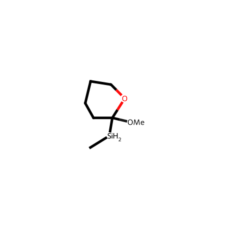 COC1([SiH2]C)CCCCO1